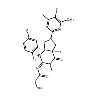 COc1nc(N2C[C@H]3C(=O)N(C)/C(=N\C(=O)OC(C)(C)C)N[C@@]3(c3cc(F)ccc3Cl)C2)nc(C)c1F